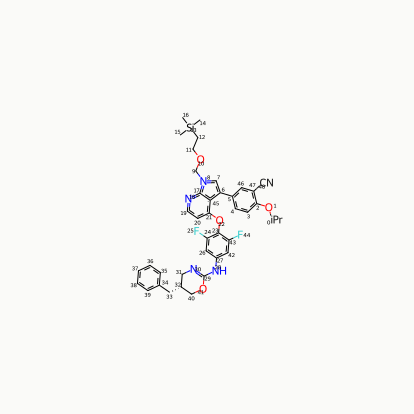 CC(C)Oc1ccc(-c2cn(COCC[Si](C)(C)C)c3nccc(Oc4c(F)cc(NC5=NC[C@@H](Cc6ccccc6)CO5)cc4F)c23)cc1C#N